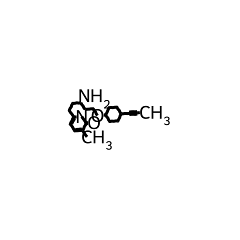 CC#CC1CCC(OCC2C(N)CCc3ccc(C)c(=O)n32)CC1